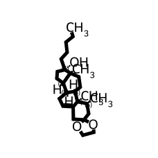 CCCCC[C@]1(O)CC[C@H]2[C@@H]3CC=C4CC5(C[C@H](C)[C@]4(C)[C@H]3CC[C@@]21C)OCCO5